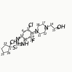 CC1(Sc2nc3cc(Cl)c(N4CCN(CCO)CC4)c(F)c3[nH]2)CCCC1